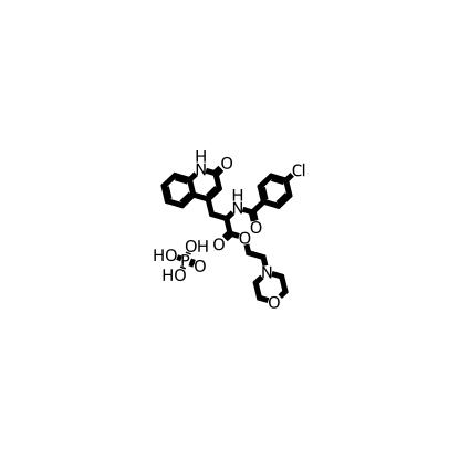 O=C(NC(Cc1cc(=O)[nH]c2ccccc12)C(=O)OCCN1CCOCC1)c1ccc(Cl)cc1.O=P(O)(O)O